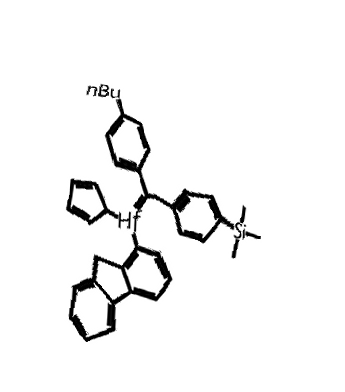 CCCCc1ccc([C](c2ccc([Si](C)(C)C)cc2)=[Hf]([c]2cccc3c2Cc2ccccc2-3)[CH]2C=CC=C2)cc1